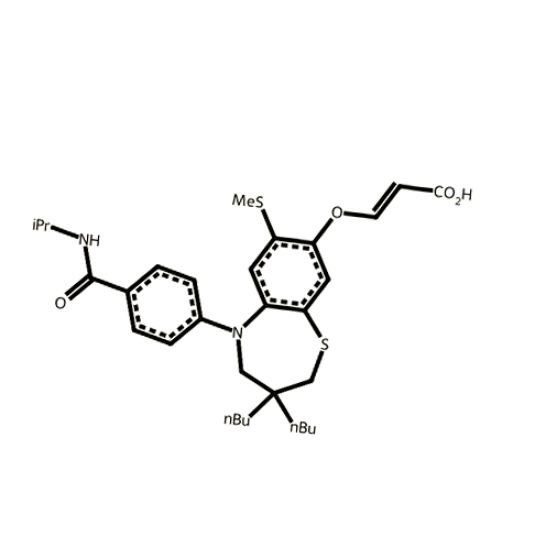 CCCCC1(CCCC)CSc2cc(O/C=C/C(=O)O)c(SC)cc2N(c2ccc(C(=O)NC(C)C)cc2)C1